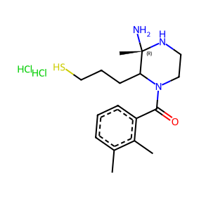 Cc1cccc(C(=O)N2CCN[C@@](C)(N)C2CCCS)c1C.Cl.Cl